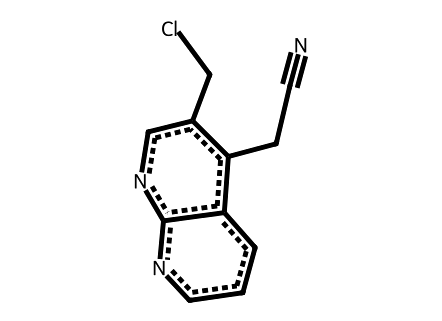 N#CCc1c(CCl)cnc2ncccc12